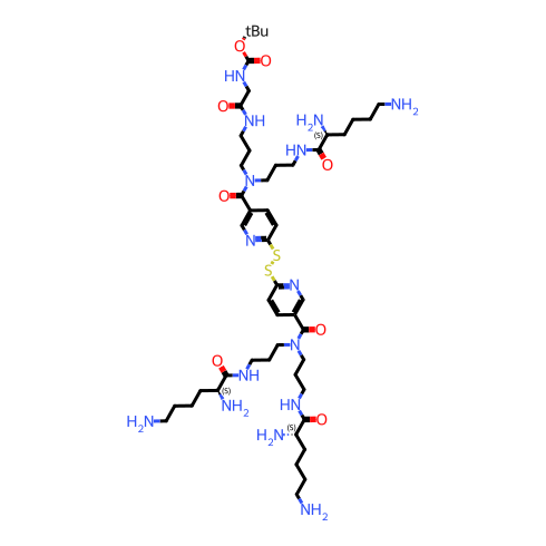 CC(C)(C)OC(=O)NCC(=O)NCCCN(CCCNC(=O)[C@@H](N)CCCCN)C(=O)c1ccc(SSc2ccc(C(=O)N(CCCNC(=O)[C@@H](N)CCCCN)CCCNC(=O)[C@@H](N)CCCCN)cn2)nc1